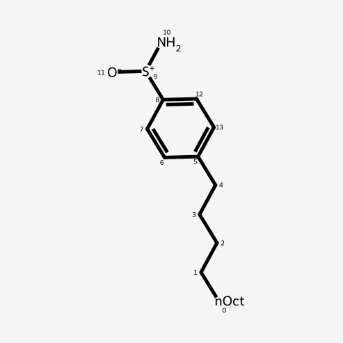 CCCCCCCCCCCCc1ccc([S+](N)[O-])cc1